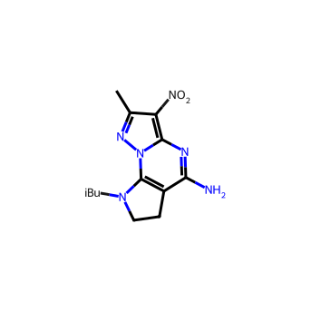 CCC(C)N1CCc2c(N)nc3c([N+](=O)[O-])c(C)nn3c21